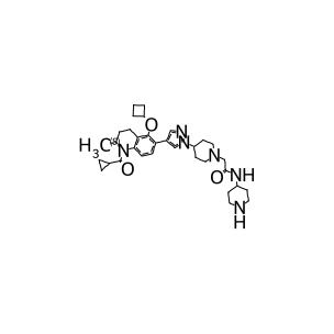 C[C@H]1CCc2c(ccc(-c3cnn(C4CCN(CC(=O)NC5CCNCC5)CC4)c3)c2OC2CCC2)N1C(=O)C1CC1